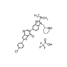 CN(C)c1nc2cc(-n3cnc4cc(-c5ccc(Cl)cc5)sc4c3=O)ccc2n1CC1CCCCN1.O=C(O)C(F)(F)F